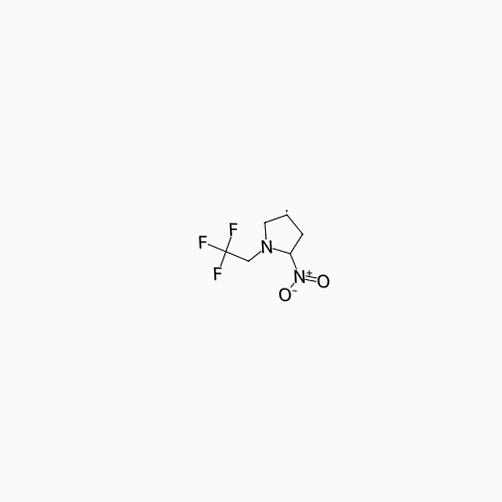 O=[N+]([O-])C1C[CH]CN1CC(F)(F)F